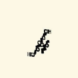 CCCC(=O)OCC.OCCOCCOCCOCCO